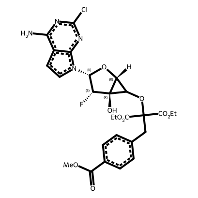 CCOC(=O)C(Cc1ccc(C(=O)OC)cc1)(OC1[C@H]2O[C@@H](n3ccc4c(N)nc(Cl)nc43)[C@@H](F)[C@@]12O)C(=O)OCC